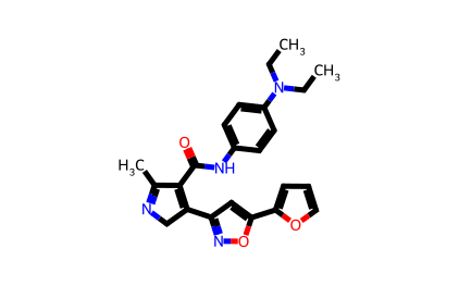 CCN(CC)c1ccc(NC(=O)C2=C(c3cc(-c4ccco4)on3)CN=C2C)cc1